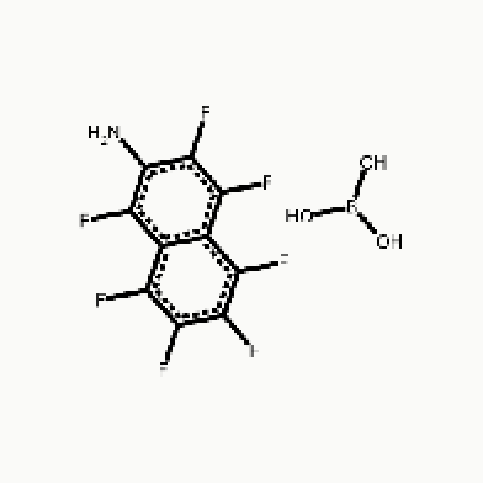 Nc1c(F)c(F)c2c(F)c(F)c(F)c(F)c2c1F.OB(O)O